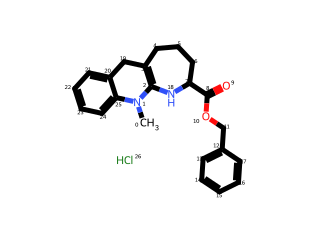 CN1C2=C(CCCC(C(=O)OCc3ccccc3)N2)Cc2ccccc21.Cl